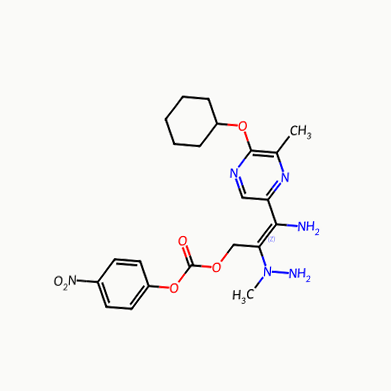 Cc1nc(/C(N)=C(\COC(=O)Oc2ccc([N+](=O)[O-])cc2)N(C)N)cnc1OC1CCCCC1